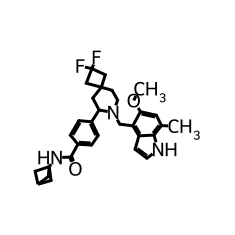 COc1cc(C)c2[nH]ccc2c1CN1CCC2(CC1c1ccc(C(=O)NC34CC(C3)C4)cc1)CC(F)(F)C2